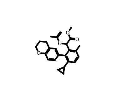 C=C(C)OC(C(=O)OC)c1c(C)ccc(C2CC2)c1-c1ccc2c(c1)CCCO2